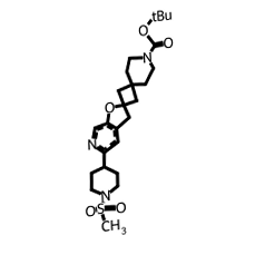 CC(C)(C)OC(=O)N1CCC2(CC1)CC1(Cc3cc(C4CCN(S(C)(=O)=O)CC4)ncc3O1)C2